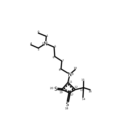 CCN(CC)CCCCN(C)c1c(C(C)(C)C)c(=S)c1=S